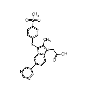 Cc1c(Sc2ccc(S(C)(=O)=O)cc2)c2cc(-c3cncnc3)ccc2n1CC(=O)O